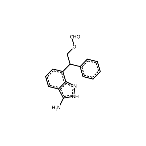 Nc1[nH]nc2c(C(COC=O)c3ccccc3)cccc12